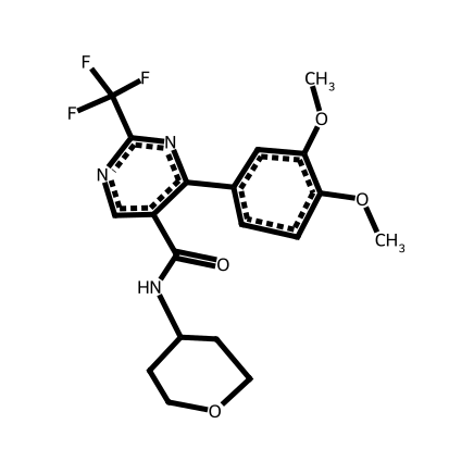 COc1ccc(-c2nc(C(F)(F)F)ncc2C(=O)NC2CCOCC2)cc1OC